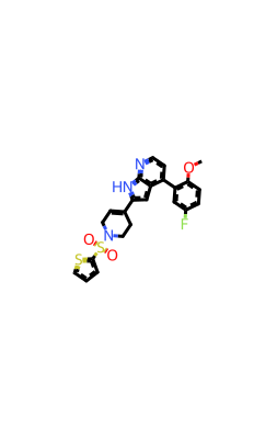 COc1ccc(F)cc1-c1ccnc2[nH]c(C3=CCN(S(=O)(=O)c4cccs4)CC3)cc12